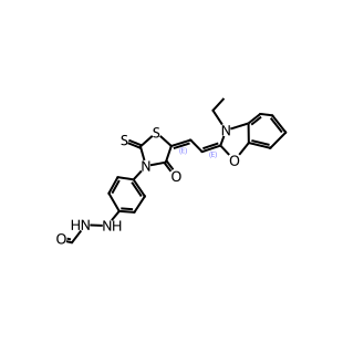 CCN1/C(=C\C=C2\SC(=S)N(c3ccc(NNC=O)cc3)C2=O)Oc2ccccc21